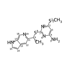 CSc1cc(N)nc(SC(C)c2cc3cc[nH]c3cn2)n1